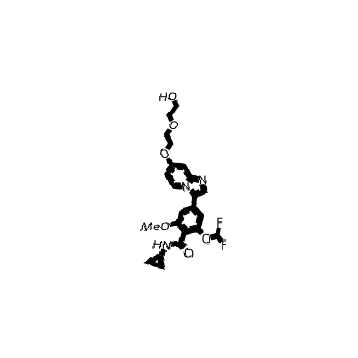 COc1cc(-c2cnc3cc(OCCOCCO)ccn23)cc(OC(F)F)c1C(=O)NC1CC1